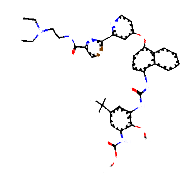 CCN(CC)CCNC(=O)c1csc(-c2cc(Oc3ccc(NC(=O)Nc4cc(C(C)(C)C)cc(NC(=O)OC)c4OC)c4ccccc34)ccn2)n1